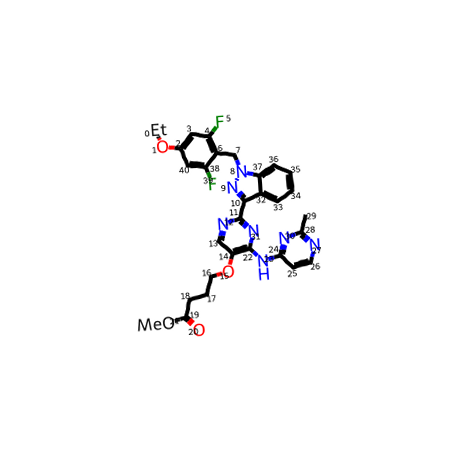 CCOc1cc(F)c(Cn2nc(-c3ncc(OCCCC(=O)OC)c(Nc4ccnc(C)n4)n3)c3ccccc32)c(F)c1